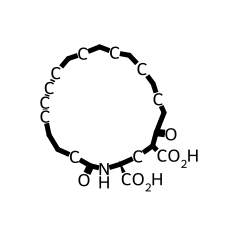 O=C1CCCCCCCCCCCCCCCCC(=O)C(C(=O)O)C[C@@H](C(=O)O)N1